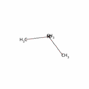 CCCCCCCCCCCCCCCCCCCCCCCCCCC(=O)N(C)CCCCCCCCCCCCCCCCCCCCCCCCCC